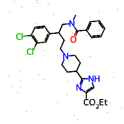 CCOC(=O)c1c[nH]c(C2CCN(CCC(CN(C)C(=O)c3ccccc3)c3ccc(Cl)c(Cl)c3)CC2)n1